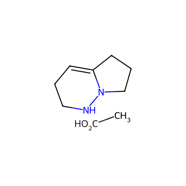 C1=C2CCCN2NCC1.CC(=O)O